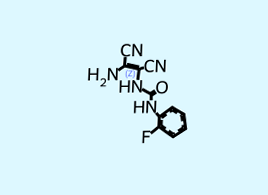 N#C/C(N)=C(\C#N)NC(=O)Nc1ccccc1F